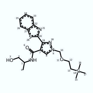 CC(CO)NC(=O)c1cn(COCC[Si](C)(C)C)nc1-c1nc2ccccc2s1